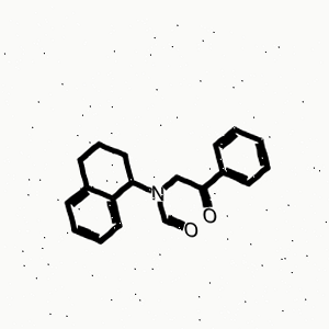 O=CN(CC(=O)c1ccccc1)C1CCCc2ccccc21